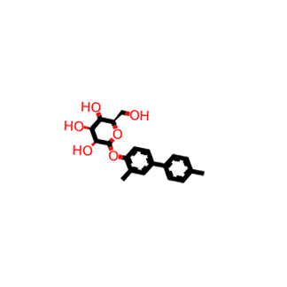 Cc1ccc(-c2ccc(OC3O[C@H](CO)C(O)[C@H](O)[C@@H]3O)c(C)c2)cc1